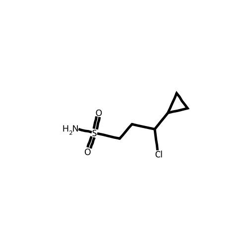 NS(=O)(=O)CCC(Cl)C1CC1